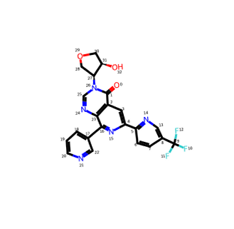 O=c1c2cc(-c3ccc(C(F)(F)F)cn3)nc(-c3cccnc3)c2ncn1[C@H]1COC[C@H]1O